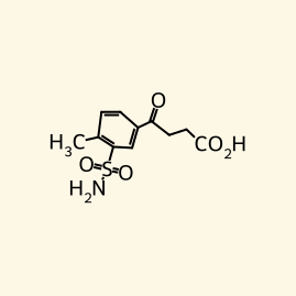 Cc1ccc(C(=O)CCC(=O)O)cc1S(N)(=O)=O